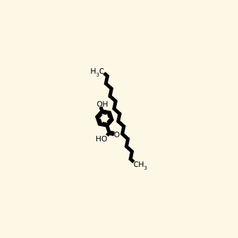 CCCCCCCCCCCCCCCC.O=C(O)c1ccc(O)cc1